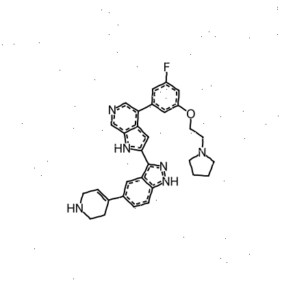 Fc1cc(OCCN2CCCC2)cc(-c2cncc3[nH]c(-c4n[nH]c5ccc(C6=CCNCC6)cc45)cc23)c1